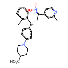 Cc1cc(/C(C[C@H](c2ccc(N3CCC(C(=O)O)CC3)cc2)c2ccccc2C)=[N+](\[O-])O)ccn1